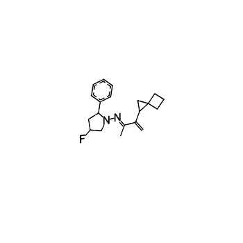 C=C(/C(C)=N/N1CC(F)CC1c1ccccc1)C1CC12CCC2